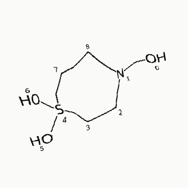 ON1CCS(O)(O)CC1